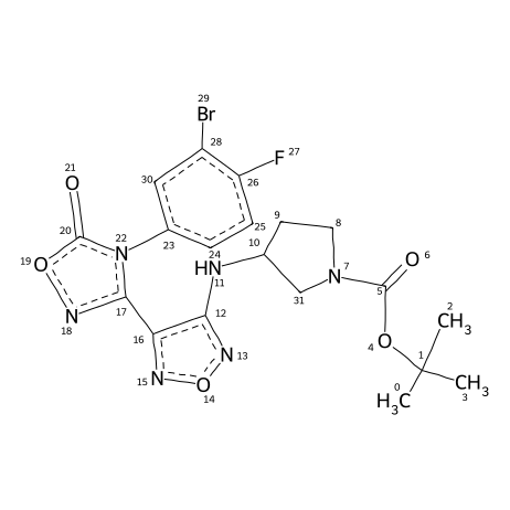 CC(C)(C)OC(=O)N1CCC(Nc2nonc2-c2noc(=O)n2-c2ccc(F)c(Br)c2)C1